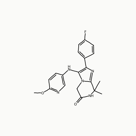 COc1ccc(Nc2c(-c3ccc(F)cc3)nc3n2CC(=O)NC3(C)C)cn1